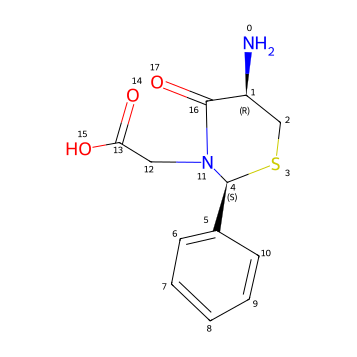 N[C@H]1CS[C@@H](c2ccccc2)N(CC(=O)O)C1=O